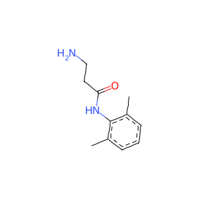 Cc1cccc(C)c1NC(=O)CCN